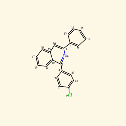 Clc1ccc(-c2nc(-c3ccccc3)cc3ccccc23)cc1